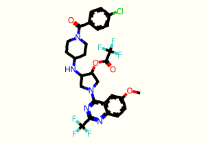 COc1ccc2nc(C(F)(F)F)nc(N3CC(NC4CCN(C(=O)c5ccc(Cl)cc5)CC4)C(OC(=O)C(F)(F)F)C3)c2c1